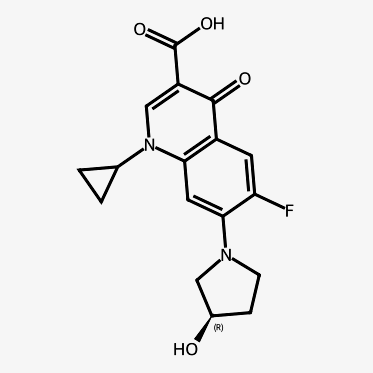 O=C(O)c1cn(C2CC2)c2cc(N3CC[C@@H](O)C3)c(F)cc2c1=O